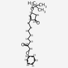 C[Si](C)(C)OC1C=C(CCCCCCC(=O)COc2ccccc2)C(=O)C1